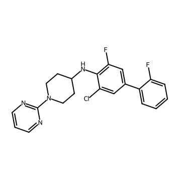 Fc1ccccc1-c1cc(F)c(NC2CCN(c3ncccn3)CC2)c(Cl)c1